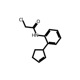 O=C(CCl)Nc1ccccc1C1C=CCC1